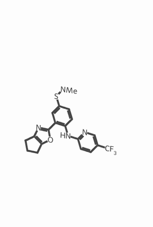 CNSc1ccc(Nc2ccc(C(F)(F)F)cn2)c(-c2nc3c(o2)CCC3)c1